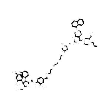 C=CC(=O)N1CCN(c2nc(OC[C@@H]3C[C@@H](OCCOCCOCCNC(=O)c4ccc(NC(=O)[C@@H]5N[C@@H](CC(C)(C)C)[C@](C#N)(c6ccc(Cl)cc6F)[C@H]5c5cccc(Cl)c5F)c(OC)c4)CN3C)nc3c2CCN(c2cccc4ccccc24)C3)CC1CC#N